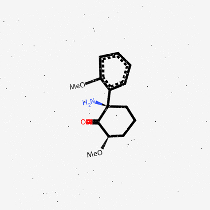 COc1ccccc1[C@]1(N)CCC[C@@H](OC)C1=O